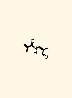 C=C(C)C(=O)NC=C(C)C=O